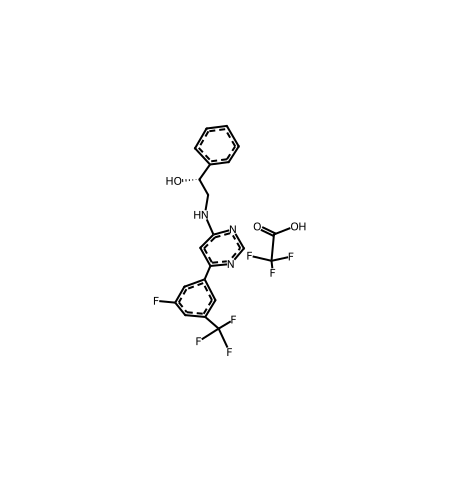 O=C(O)C(F)(F)F.O[C@@H](CNc1cc(-c2cc(F)cc(C(F)(F)F)c2)ncn1)c1ccccc1